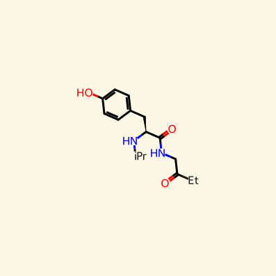 CCC(=O)CNC(=O)[C@H](Cc1ccc(O)cc1)NC(C)C